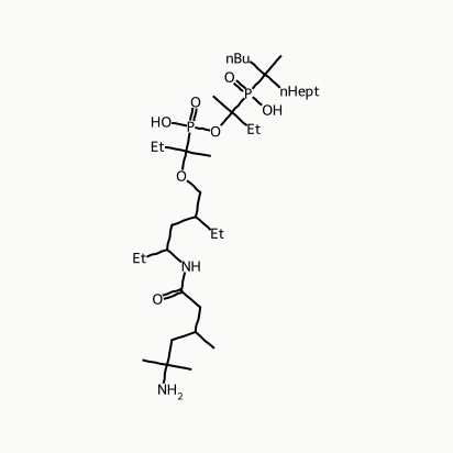 CCCCCCCC(C)(CCCC)P(=O)(O)C(C)(CC)OP(=O)(O)C(C)(CC)OCC(CC)CC(CC)NC(=O)CC(C)CC(C)(C)N